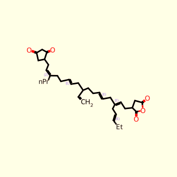 C=CC(C/C=C/CC/C(=C\CC1CC(=O)CC1=O)CCC)CC/C=C/C/C(=C/CC1CC(=O)OC1=O)C/C=C/CC